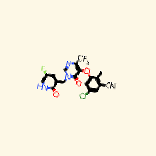 Cc1c(C#N)cc(Cl)cc1Oc1c(C(F)(F)F)ncn(Cc2cc(F)c[nH]c2=O)c1=O